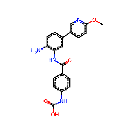 COc1ccc(-c2ccc(N)c(NC(=O)c3ccc(NC(=O)O)cc3)c2)cn1